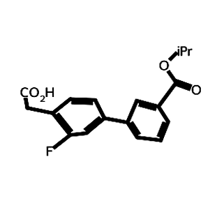 CC(C)OC(=O)c1cccc(-c2ccc(CC(=O)O)c(F)c2)c1